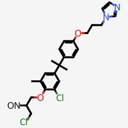 Cc1cc(C(C)(C)c2ccc(OCCCn3ccnc3)cc2)cc(Cl)c1OCC(CCl)N=O